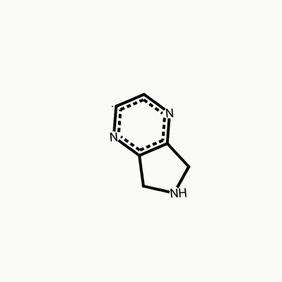 [c]1cnc2c(n1)CNC2